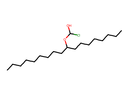 CCCCCCCCCC(CCCCCCCC)OC(O)Cl